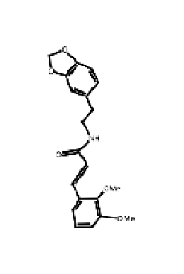 COc1cccc(C=CC(=O)NCCc2ccc3c(c2)OCO3)c1OC